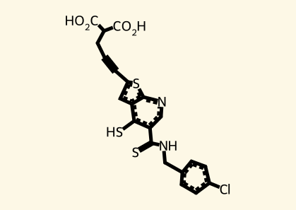 O=C(O)C(CC#Cc1cc2c(S)c(C(=S)NCc3ccc(Cl)cc3)cnc2s1)C(=O)O